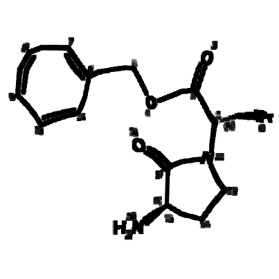 CC(C)[C@@H](C(=O)OCc1ccccc1)N1CC[C@@H](N)C1=O